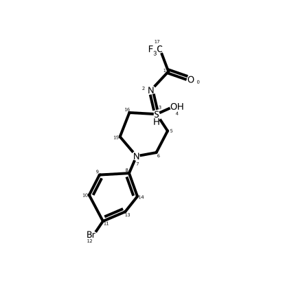 O=C(N=[SH]1(O)CCN(c2ccc(Br)cc2)CC1)C(F)(F)F